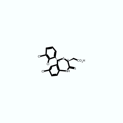 O=C(O)C[C@@H]1S[C@@H](c2cccc(Cl)c2Cl)c2cc(Cl)ccc2NC1=S